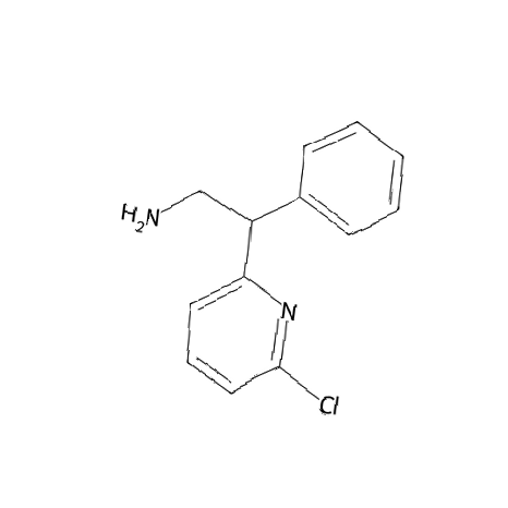 NCC(c1ccccc1)c1cccc(Cl)n1